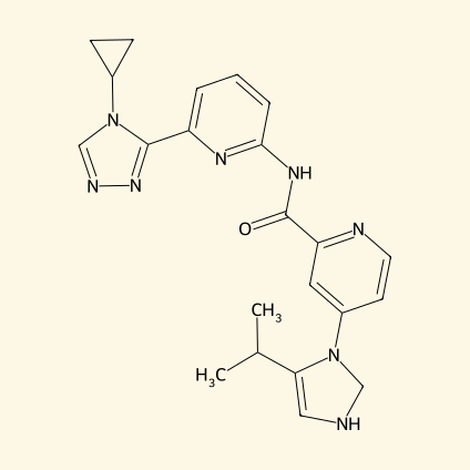 CC(C)C1=CNCN1c1ccnc(C(=O)Nc2cccc(-c3nncn3C3CC3)n2)c1